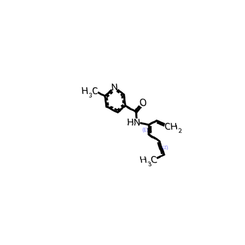 C=C/C(=C\C=C/C)NC(=O)c1ccc(C)nc1